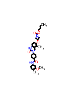 CCCCOC(=O)N1CC(Oc2ccc3c(c2C)CN(C2CCC(C(=O)Nc4ccc(C)c(OC)c4)CC2)C(=O)N3)C1